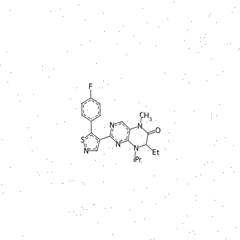 CCC1C(=O)N(C)c2cnc(-c3cnsc3-c3ccc(F)cc3)nc2N1C(C)C